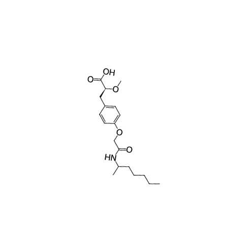 CCCCCC(C)NC(=O)COc1ccc(C[C@H](OC)C(=O)O)cc1